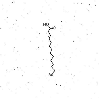 O=C(O)CCCCCCCCCCC[S][Au]